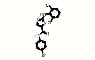 O=C(Nc1ccc(Br)cc1)c1csc(Nc2c(Cl)cccc2Cl)n1